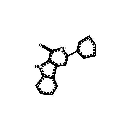 O=c1[nH]c(-c2ccccc2)cc2c1[nH]c1ccccc12